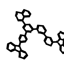 C1=C(c2cccc(-c3cc(-c4cncc5ccccc45)cc(-c4ccc(-n5c6ccccc6c6ncccc65)cc4)n3)n2)C=C(n2c3ccccc3c3ccncc32)CC1